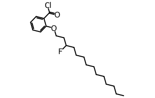 CCCCCCCCCCCC(F)CCOc1ccccc1C(=O)Cl